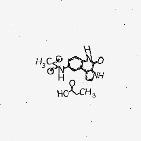 CCC(=O)O.CS(=O)(=O)Nc1ccc2[nH]c(=O)c3[nH]ccc3c2c1